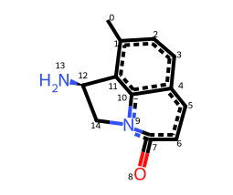 Cc1ccc2ccc(=O)n3c2c1[C@H](N)C3